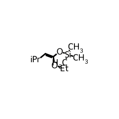 CCO/C(=C\C(C)C)O[Si](C)(C)C